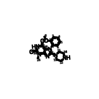 COc1ccccc1-n1c(N2CCNCC2)nc2c1c(=O)[nH]c(=O)n2C